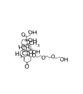 C[C@]12C[C@H](O)[C@H]3[C@@H](CCC4=CC(=O)CC(OCCOCCOCCO)[C@@]43C)[C@@H]1CC[C@]2(O)C(=O)CO